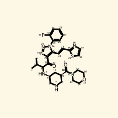 CC(C)C(N[C@@H]1CNC[C@H](C(=O)N2CCOCC2)C1)C(=O)c1nnn(-c2ccccc2F)c1/C=C/c1nccs1